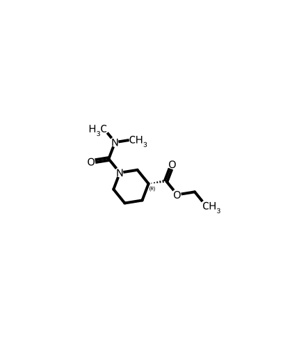 CCOC(=O)[C@@H]1CCCN(C(=O)N(C)C)C1